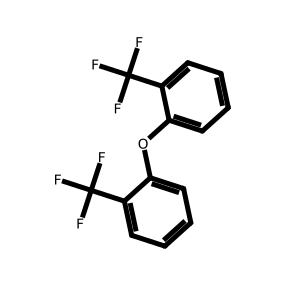 FC(F)(F)c1ccccc1Oc1ccccc1C(F)(F)F